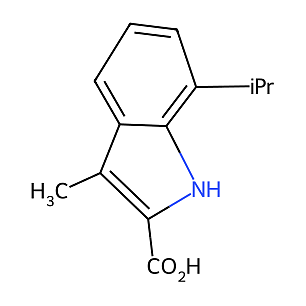 Cc1c(C(=O)O)[nH]c2c(C(C)C)cccc12